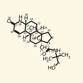 CC(C)(CO)NC(=O)[C@H]1CC[C@H]2[C@@H]3CC[C@H]4NC(=O)C=C[C@]4(C)[C@H]3CC[C@]12C